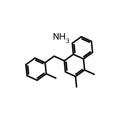 Cc1ccccc1Cc1cc(C)c(C)c2ccccc12.N